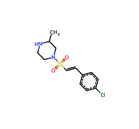 CC1CN(S(=O)(=O)/C=C/c2ccc(Cl)cc2)CCN1